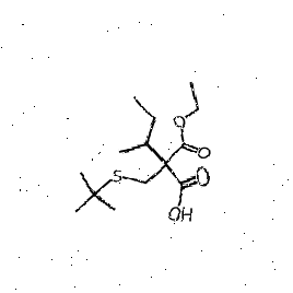 CCOC(=O)C(CSC(C)(C)C)(C(=O)O)C(C)CC